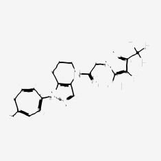 Cc1c(Cl)c(C(F)(F)F)nn1CC(=O)N1CCCc2c1cnn2C1=CC=C(F)CC=C1